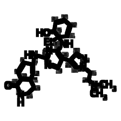 CC[C@]1(Nc2nc(Nc3ccc4c(c3)CCNC4=O)ncc2-c2cnn(CCN(C)C)c2)C=CC=CC1O